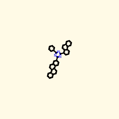 c1ccc(-c2nc(-c3ccc4c(ccc5c6ccccc6ccc45)c3)nc(-c3cccc4c3ccc3ccccc34)n2)cc1